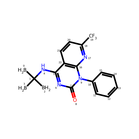 BC(B)(B)Nc1nc(=O)n(-c2ccccc2)c2nc(C(F)(F)F)ccc12